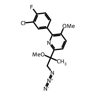 COc1ccc(C(C)(CN=[N+]=[N-])OC)nc1-c1ccc(F)c(Cl)c1